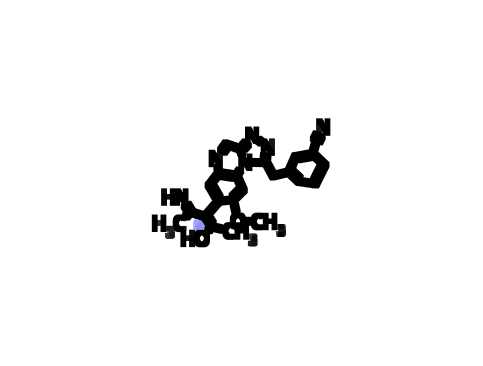 COc1cc2c(cc1/C(C(C)=N)=C(\C)O)ncc1nnc(Cc3cccc(C#N)c3)n12